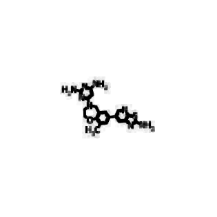 Cc1cc(-c2cnc3sc(N)nc3c2)cc2c1OCCN(c1cc(N)nc(N)n1)C2